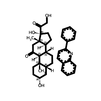 C[C@]12CC[C@@H](O)C[C@H]1CC[C@@H]1[C@@H]2C(=O)C[C@@]2(C)[C@H]1CC[C@]2(O)C(=O)CO.c1ccc(-c2ccc3ccccc3n2)cc1